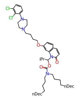 CCCCCCCCCCCCCCN(CCCCCCCCCCCCCC)C(=O)OC(C(C)C)n1c(=O)ccc2ccc(OCCCCN3CCN(c4cccc(Cl)c4Cl)CC3)cc21